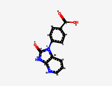 O=C(O)c1ccc(-n2c(=O)[nH]c3ncccc32)cc1